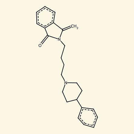 C=C1c2ccccc2C(=O)N1CCCCN1CCC(c2ccccc2)CC1